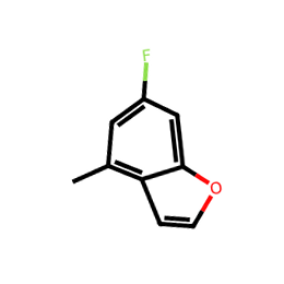 Cc1cc(F)cc2occc12